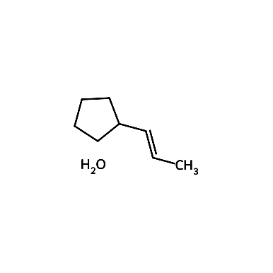 CC=CC1CCCC1.O